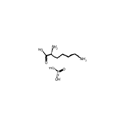 NCCCC[C@H](N)C(=O)O.O=[PH](O)O